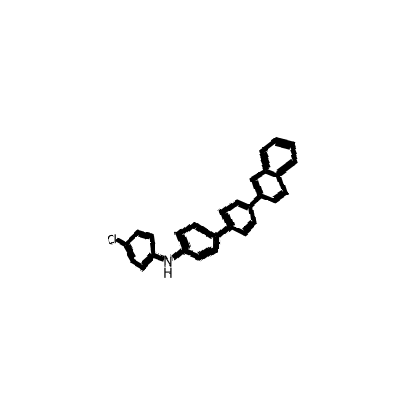 Clc1ccc(Nc2ccc(-c3ccc(-c4ccc5ccccc5c4)cc3)cc2)cc1